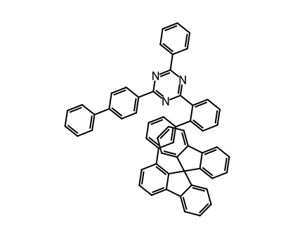 c1ccc(-c2ccc(-c3nc(-c4ccccc4)nc(-c4ccccc4-c4cccc(-c5cccc6c5C5(c7ccccc7-c7ccccc75)c5ccccc5-6)c4)n3)cc2)cc1